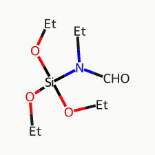 CCO[Si](OCC)(OCC)N(C=O)CC